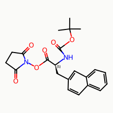 CC(C)(C)OC(=O)N[C@@H](Cc1ccc2ccccc2c1)C(=O)ON1C(=O)CCC1=O